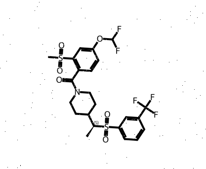 C[C@@H](C1CCN(C(=O)c2ccc(OC(F)F)cc2S(C)(=O)=O)CC1)S(=O)(=O)c1cccc(C(F)(F)F)c1